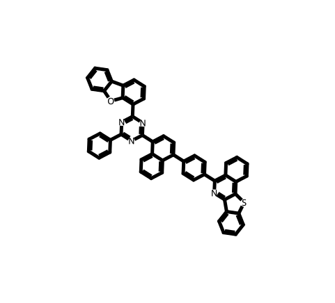 c1ccc(-c2nc(-c3ccc(-c4ccc(-c5nc6c7ccccc7sc6c6ccccc56)cc4)c4ccccc34)nc(-c3cccc4c3oc3ccccc34)n2)cc1